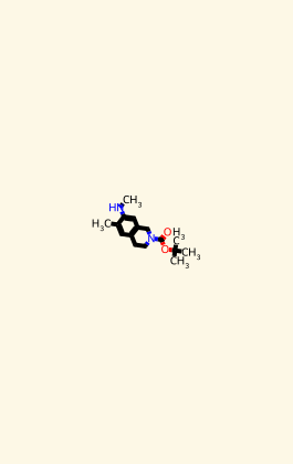 CNc1cc2c(cc1C)CCN(C(=O)OC(C)(C)C)C2